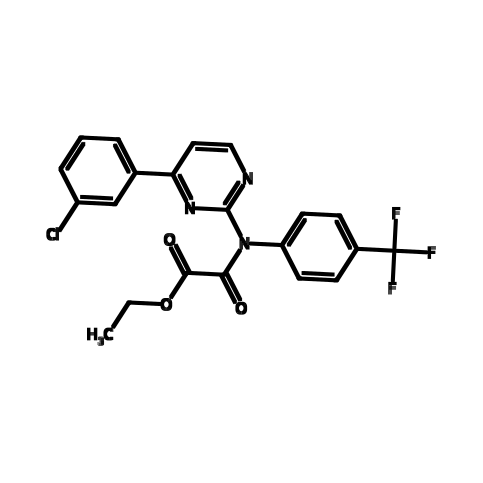 CCOC(=O)C(=O)N(c1ccc(C(F)(F)F)cc1)c1nccc(-c2cccc(Cl)c2)n1